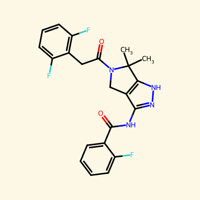 CC1(C)c2[nH]nc(NC(=O)c3ccccc3F)c2CN1C(=O)Cc1c(F)cccc1F